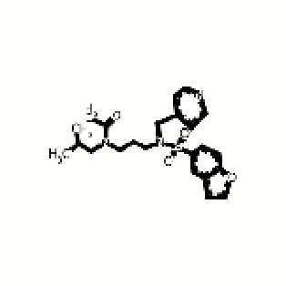 CC(=O)N(CCCN(Cc1ccncc1)S(=O)(=O)c1ccc2occc2c1)CC(C)C